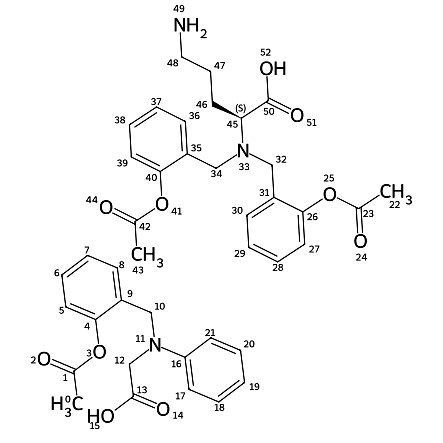 CC(=O)Oc1ccccc1CN(CC(=O)O)c1ccccc1.CC(=O)Oc1ccccc1CN(Cc1ccccc1OC(C)=O)[C@@H](CCCN)C(=O)O